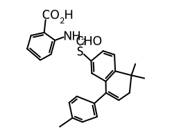 Cc1ccc(C2=CCC(C)(C)c3ccc(SC=O)cc32)cc1.Nc1ccccc1C(=O)O